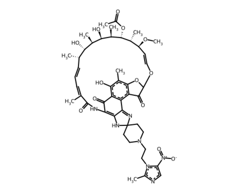 CO[C@H]1/C=C/OC2Oc3c(C)c(O)c4c(c3C2=O)C2=NC3(CCN(CCn5c([N+](=O)[O-])cnc5C)CC3)NC2=C(NC(=O)/C(C)=C\C=C\[C@H](C)[C@H](O)[C@@H](C)[C@@H](O)[C@@H](C)[C@H](OC(C)=O)[C@@H]1C)C4=O